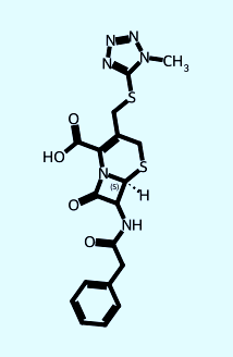 Cn1nnnc1SCC1=C(C(=O)O)N2C(=O)C(NC(=O)Cc3ccccc3)[C@@H]2SC1